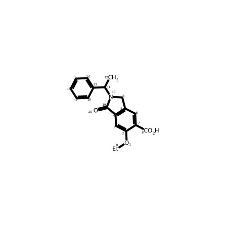 CCOc1cc2c(cc1C(=O)O)CN(C(C)c1ccccc1)C2=O